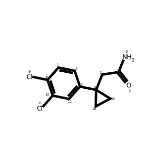 NC(=O)CC1(c2ccc(Cl)c(Cl)c2)CC1